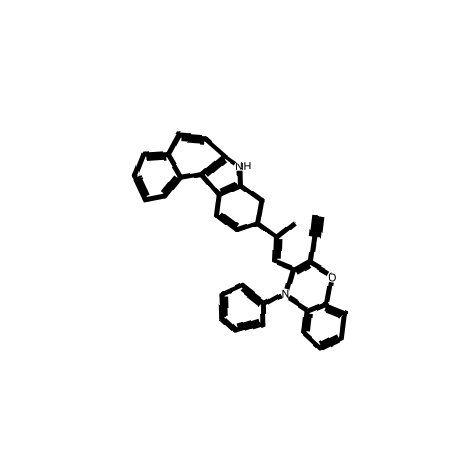 C#CC1=C(/C=C(\C)C2C=Cc3c([nH]c4ccc5ccccc5c34)C2)N(c2ccccc2)c2ccccc2O1